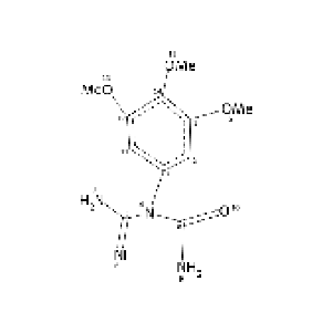 COc1cc(N(C(=N)N)C(N)=O)cc(OC)c1OC